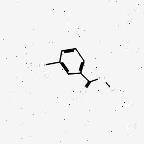 COc1cccc(C(=O)OBr)c1